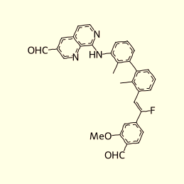 COc1cc(/C(F)=C/c2cccc(-c3cccc(Nc4nccc5cc(C=O)cnc45)c3C)c2C)ccc1C=O